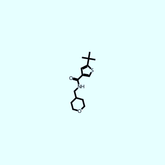 CC(C)(C)c1cc(C(=O)NCC2CCOCC2)cs1